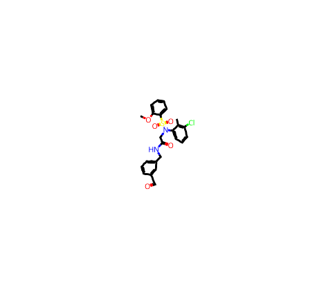 COc1ccccc1S(=O)(=O)N(CC(=O)NCc1cccc(C=O)c1)c1cccc(Cl)c1C